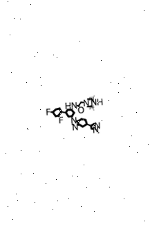 C[C@@H]1CN(CC(=O)Nc2cc(-c3ccc(F)cc3F)cc(-n3cnc4cc(-c5cnn(C)c5)ccc43)c2)C[C@H](C)N1